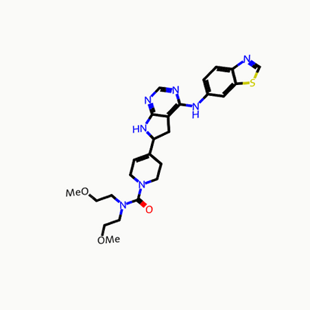 COCCN(CCOC)C(=O)N1CC=C(C2Cc3c(Nc4ccc5ncsc5c4)ncnc3N2)CC1